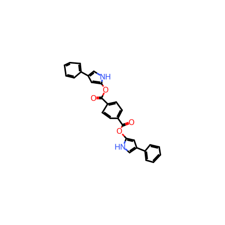 O=C(Oc1cc(-c2ccccc2)c[nH]1)c1ccc(C(=O)Oc2cc(-c3ccccc3)c[nH]2)cc1